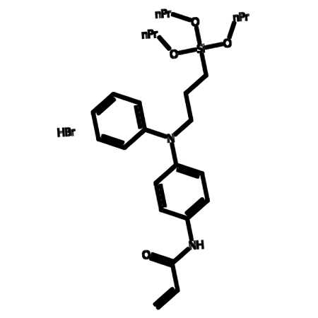 Br.C=CC(=O)Nc1ccc(N(CCC[Si](OCCC)(OCCC)OCCC)c2ccccc2)cc1